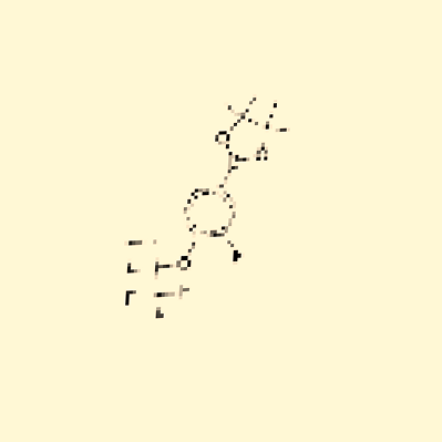 CC1(C)OB(c2ccc(OC3(C(F)(F)F)CCC3)c(F)c2)OC1(C)C